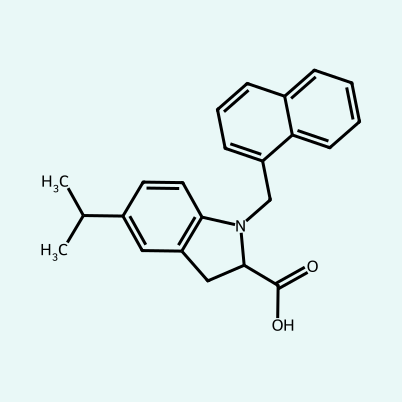 CC(C)c1ccc2c(c1)CC(C(=O)O)N2Cc1cccc2ccccc12